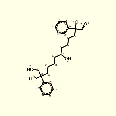 CC(C=O)(CCCCC(O)CCCCC(C)(CO)c1ccccc1)c1ccccc1